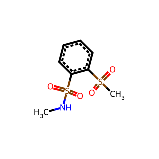 CNS(=O)(=O)c1ccccc1S(C)(=O)=O